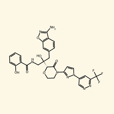 Nc1noc2cc(CC(O)(CNC(=O)c3ccccc3O)[C@H]3OCCN(c4ccn(-c5cnnc(C(F)(F)F)c5)n4)C3=O)ccc12